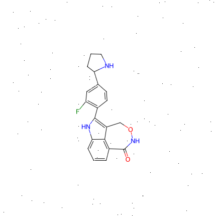 O=C1NOCc2c(-c3ccc(C4CCCN4)cc3F)[nH]c3cccc1c23